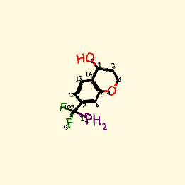 OC1CCOc2cc(C(F)(F)P)ccc21